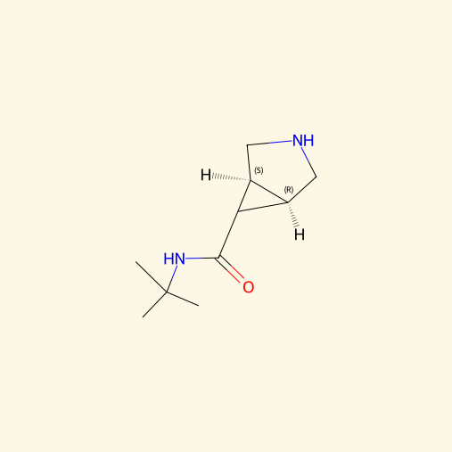 CC(C)(C)NC(=O)C1[C@H]2CNC[C@@H]12